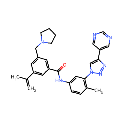 C=C(C)c1cc(CN2CCCC2)cc(C(=O)Nc2ccc(C)c(-n3cc(-c4cncnc4)nn3)c2)c1